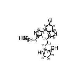 CC(C)Cn1cc(-c2cc(Cl)cc3ncn(CCC[C@H]4NCCC[C@@H]4O)c23)cn1.Cl.Cl